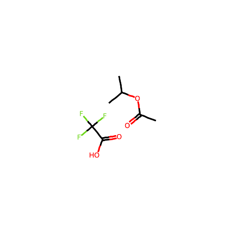 CC(=O)OC(C)C.O=C(O)C(F)(F)F